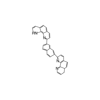 C1=Cc2ccc3ccc(-c4ccc5ccc(-c6ccc7c(n6)C6=NC=CCC6C=C7)cc5c4)nc3c2NC1